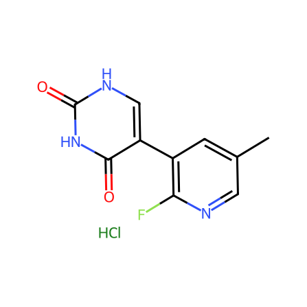 Cc1cnc(F)c(-c2c[nH]c(=O)[nH]c2=O)c1.Cl